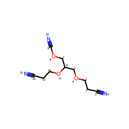 N#CCCOCC(COC#N)OCCC#N